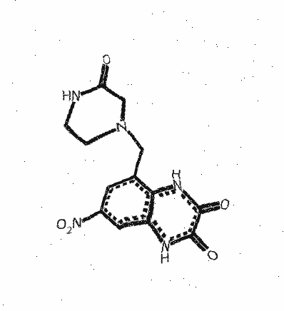 O=C1CN(Cc2cc([N+](=O)[O-])cc3[nH]c(=O)c(=O)[nH]c23)CCN1